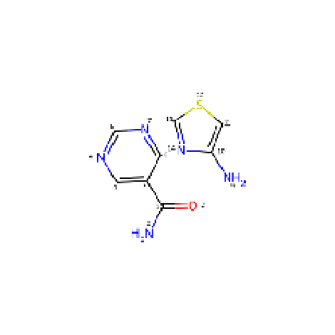 NC(=O)c1cncnc1.Nc1cscn1